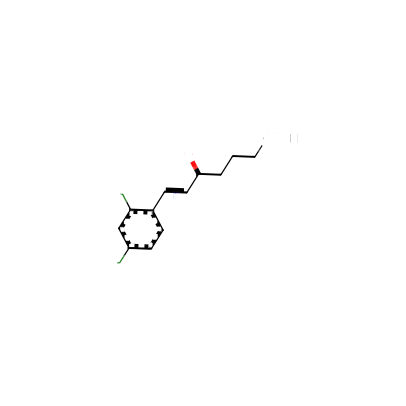 O=C(O)CCCC(=O)/C=C/c1ccc(Cl)cc1Cl